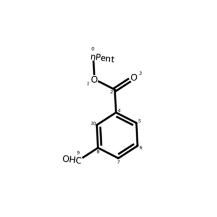 CCCCCOC(=O)c1cccc(C=O)c1